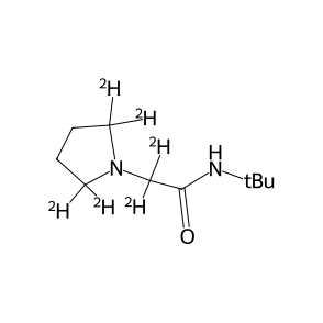 [2H]C1([2H])CCC([2H])([2H])N1C([2H])([2H])C(=O)NC(C)(C)C